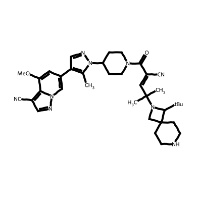 COc1cc(-c2cnn(C3CCN(C(=O)C(C#N)=CC(C)(C)N4CC5(CCNCC5)C4C(C)(C)C)CC3)c2C)cn2ncc(C#N)c12